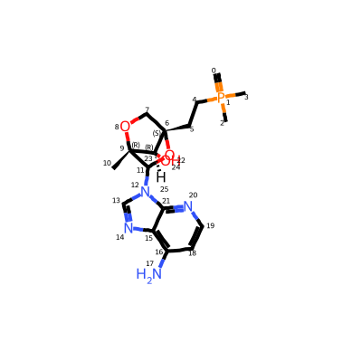 C=P(C)(C)CC[C@@]12CO[C@@](C)(C(n3cnc4c(N)ccnc43)O1)[C@@H]2O